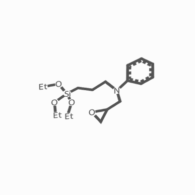 CCO[Si](CCCN(CC1CO1)c1ccccc1)(OCC)OCC